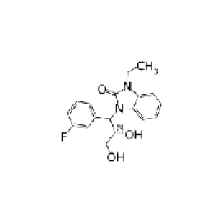 CCn1c(=O)n(C(c2cccc(F)c2)[C@H](O)CO)c2ccccc21